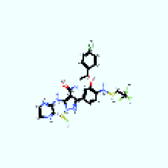 CC(Oc1cc(-c2nn(SF)c(Nc3cnccn3)c2C(N)=O)ccc1NSCC(F)(F)F)c1ccc(Cl)cc1